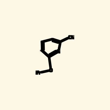 CC(C)Oc1[c]ccc(C#N)n1